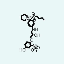 CCCCS(=O)(=O)NC1(N2CCCCC2)C=CC(NC[C@H](O)COc2ccc(O)cc2NS(C)(=O)=O)=CC1